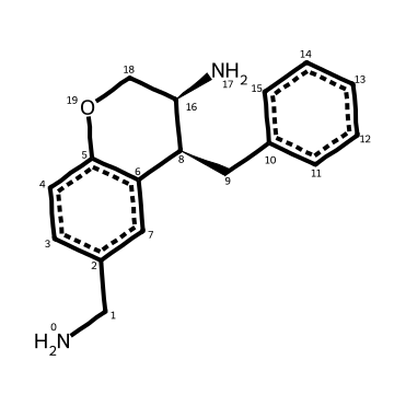 NCc1ccc2c(c1)[C@H](Cc1ccccc1)[C@H](N)CO2